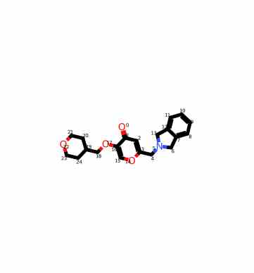 O=c1cc(CN2Cc3ccccc3C2)occ1OCC1CCOCC1